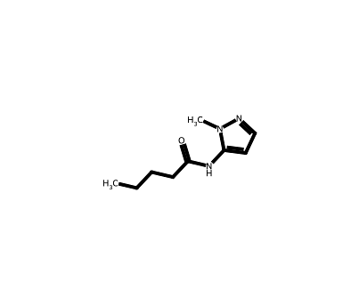 CCCCC(=O)Nc1ccnn1C